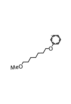 COCCCCCCCOc1c[c]ccc1